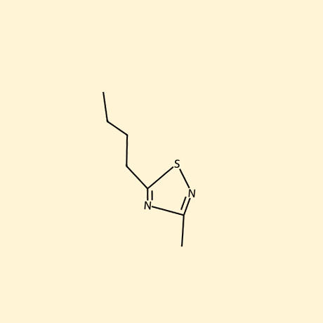 CCCCc1nc(C)ns1